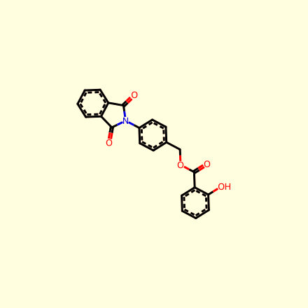 O=C(OCc1ccc(N2C(=O)c3ccccc3C2=O)cc1)c1ccccc1O